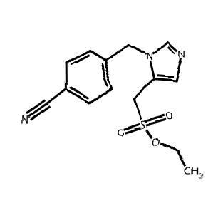 CCOS(=O)(=O)Cc1cncn1Cc1ccc(C#N)cc1